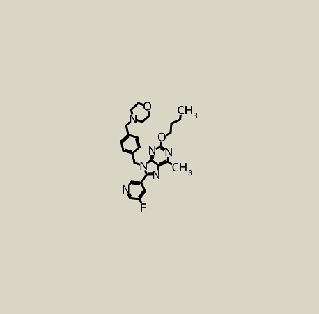 CCCCOc1nc(C)c2nc(-c3cncc(F)c3)n(Cc3ccc(CN4CCOCC4)cc3)c2n1